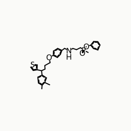 Cc1ccc(C(CCCOc2ccc(CNCCCP(C)(=O)Oc3ccccc3)cc2)c2ccsc2)cc1C